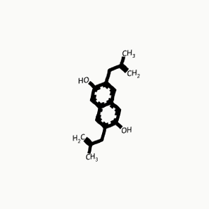 C=C(C)Cc1cc2cc(O)c(CC(=C)C)cc2cc1O